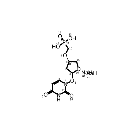 O=c1ccn(OC2C[C@H](OCP(=O)(O)O)CO2)c(=O)[nH]1.[NaH].[NaH]